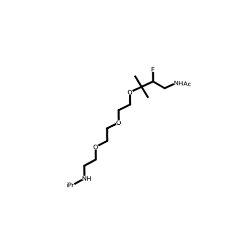 CC(=O)NCC(F)C(C)(C)OCCOCCOCCNC(C)C